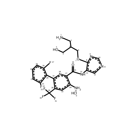 Cl.NCC(CO)COc1ncncc1NC(=O)c1nc(-c2c(F)cccc2F)c(C(F)(F)F)cc1N